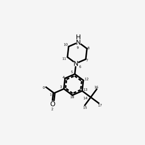 CC(=O)c1cc(N2CCNCC2)cc(C(C)(C)C)c1